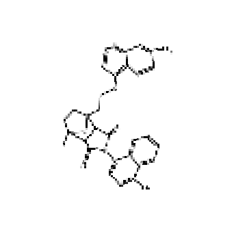 CC12CCC(CCSc3ccnc4cc(C(F)(F)F)ccc34)(O1)C1C(=O)N(c3ccc(C#N)c4ccccc34)C(=O)C12